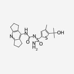 Cc1cc(S(N)(=O)=NC(=O)Nc2c3c(nc4c2CCC4)CCC3)sc1C(C)(C)O